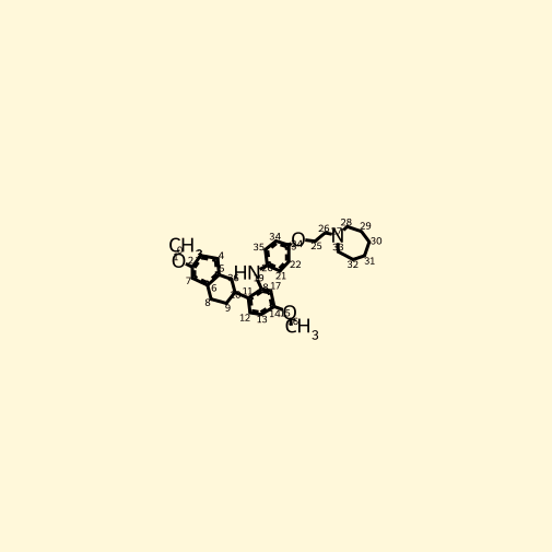 COc1ccc2c(c1)CCC(c1ccc(OC)cc1Nc1ccc(OCCN3CCCCCC3)cc1)C2